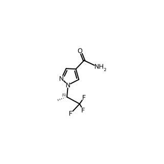 C[C@H](n1cc(C(N)=O)cn1)C(F)(F)F